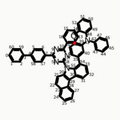 c1ccc(-c2ccc(-c3nc(-c4ccccc4)nc(-n4c5ccc6ccccc6c5c5cccc(-c6ccc7c(c6)N(c6ccccc6)c6ccccc6O7)c54)n3)cc2)cc1